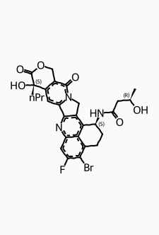 CCC[C@@]1(O)C(=O)OCc2c1cc1n(c2=O)Cc2c-1nc1cc(F)c(Br)c3c1c2[C@@H](NC(=O)C[C@@H](C)O)CC3